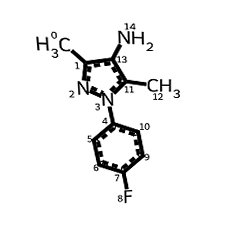 Cc1nn(-c2ccc(F)cc2)c(C)c1N